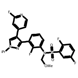 COCN(c1cccc(-c2nn(C(C)C)cc2-c2ccnc(F)c2)c1F)S(=O)(=O)c1cc(F)ccc1F